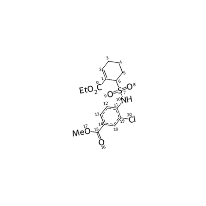 CCOC(=O)C1=CCCCC1S(=O)(=O)Nc1ccc(C(=O)OC)cc1Cl